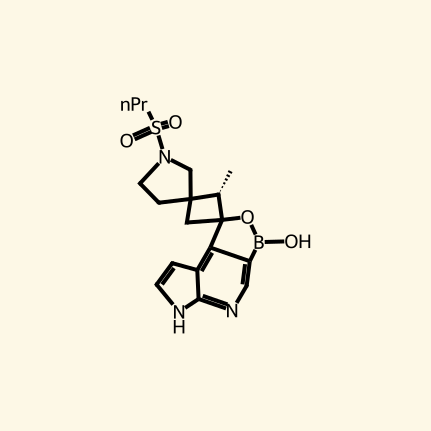 CCCS(=O)(=O)N1CCC2(C1)CC1(OB(O)c3cnc4[nH]ccc4c31)[C@H]2C